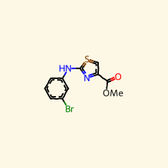 COC(=O)c1csc(Nc2cccc(Br)c2)n1